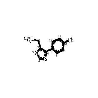 CCc1n[c]sc1-c1ccc(Cl)cc1